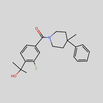 CC(C)(O)c1ccc(C(=O)N2CCC(C)(c3ccccc3)CC2)cc1F